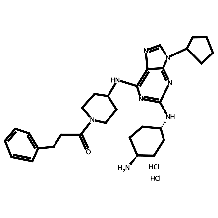 Cl.Cl.N[C@H]1CC[C@H](Nc2nc(NC3CCN(C(=O)CCc4ccccc4)CC3)c3ncn(C4CCCC4)c3n2)CC1